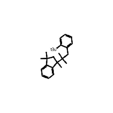 CC(C)(C)c1ccccc1CC(C)(C)C1(C)CC(C)(C)c2ccccc21